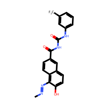 CN=Nc1c(O)ccc2cc(C(=O)NC(=O)Nc3cccc(C(F)(F)F)c3)ccc12